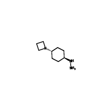 NN[C@H]1CC[C@H](N2CCC2)CC1